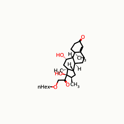 CCCCCCOCC(=O)[C@@]1(O)[C@H](C)C[C@H]2[C@@H]3CCC4=CC(=O)CC[C@]4(C)[C@H]3[C@@H](O)C[C@@]21C